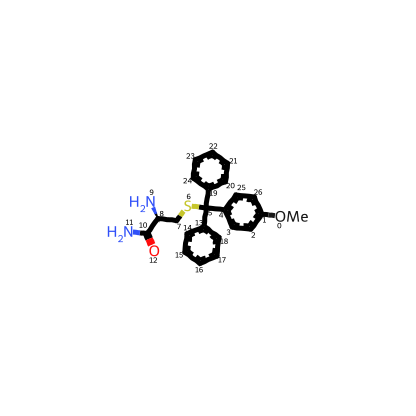 COc1ccc(C(SC[C@H](N)C(N)=O)(c2ccccc2)c2ccccc2)cc1